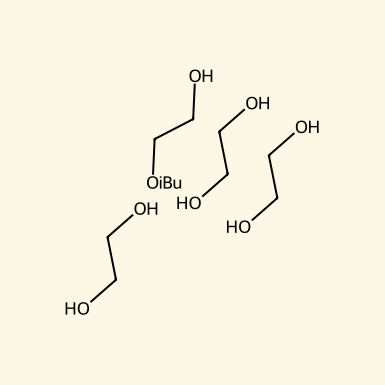 CC(C)COCCO.OCCO.OCCO.OCCO